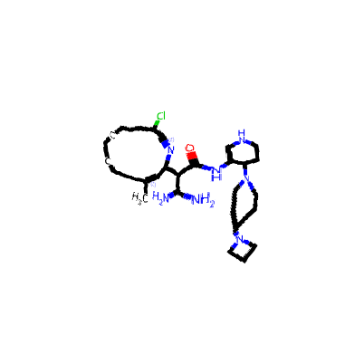 C/C1=C/C(C(C(=O)NC2CNCCC2N2CCC(N3CCC3)CC2)C(N)N)/N=C\C(Cl)CCCCCCC1